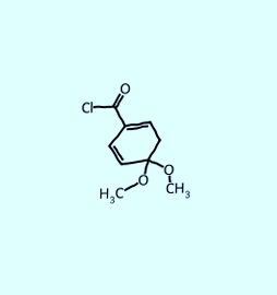 COC1(OC)C=CC(C(=O)Cl)=CC1